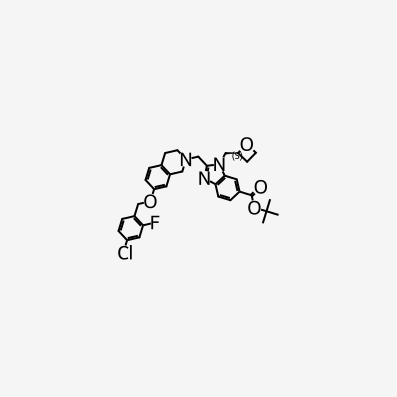 CC(C)(C)OC(=O)c1ccc2nc(CN3CCc4ccc(OCc5ccc(Cl)cc5F)cc4C3)n(C[C@@H]3CCO3)c2c1